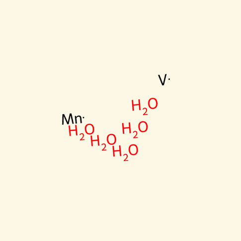 O.O.O.O.O.[Mn].[V]